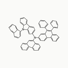 c1ccc(-c2c(-c3ccccc3)c3cc(N(c4ccc5c6ccccc6n(-c6cccc7ccccc67)c5c4)c4cc5ccccc5c5ccccc45)ccc3c3ccccc23)cc1